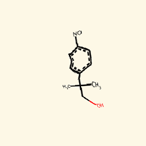 CC(C)(CO)c1ccc(N=O)cc1